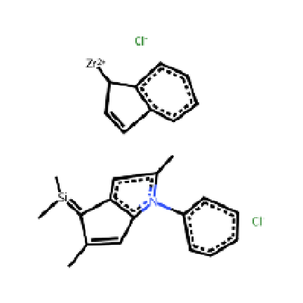 CC1=Cc2c(cc(C)n2-c2ccccc2)C1=[Si](C)C.[Cl-].[Cl-].[Zr+2][CH]1C=Cc2ccccc21